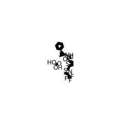 O=C(O)O.O=S(=O)(N[C@H]1C[C@@H]1c1ccccc1)c1ccc(-c2nc(C(F)(F)F)cs2)s1